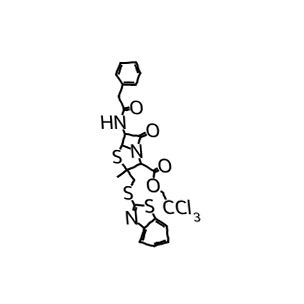 CC1(CSc2nc3ccccc3s2)SC2C(NC(=O)Cc3ccccc3)C(=O)N2C1C(=O)OCC(Cl)(Cl)Cl